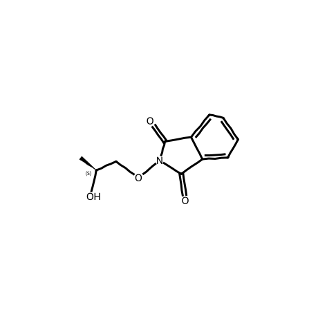 C[C@H](O)CON1C(=O)c2ccccc2C1=O